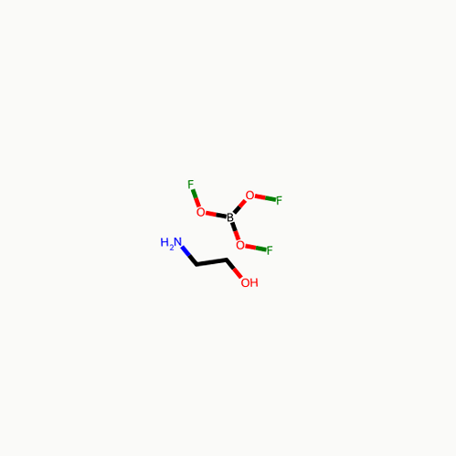 FOB(OF)OF.NCCO